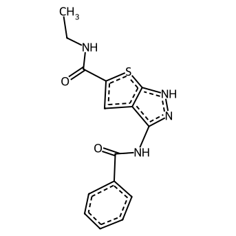 CCNC(=O)c1cc2c(NC(=O)c3ccccc3)n[nH]c2s1